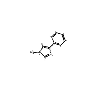 Sn1nnc(-c2ccccc2)n1